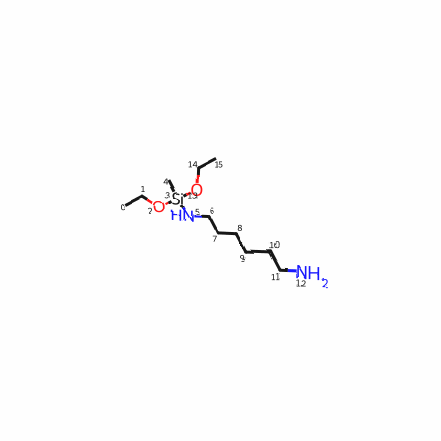 CCO[Si](C)(NCCCCCCN)OCC